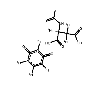 [2H]C([2H])(C(=O)O)[C@]([2H])(NC(C)=O)C(=O)O.[2H]c1c([2H])n([2H])c(=O)n([2H])c1=O